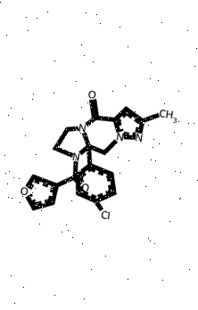 Cc1cc2n(n1)CC1(c3ccc(Cl)cc3)N(C(=O)c3ccoc3)CCN1C2=O